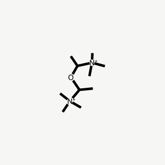 CC(OC(C)[N+](C)(C)C)[N+](C)(C)C